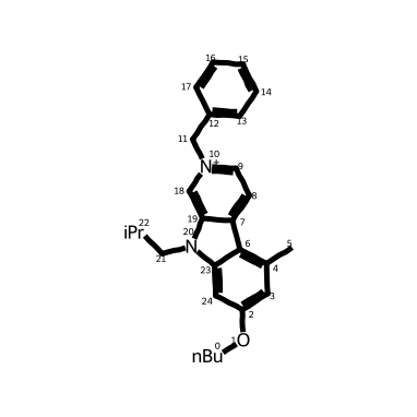 CCCCOc1cc(C)c2c3cc[n+](Cc4ccccc4)cc3n(CC(C)C)c2c1